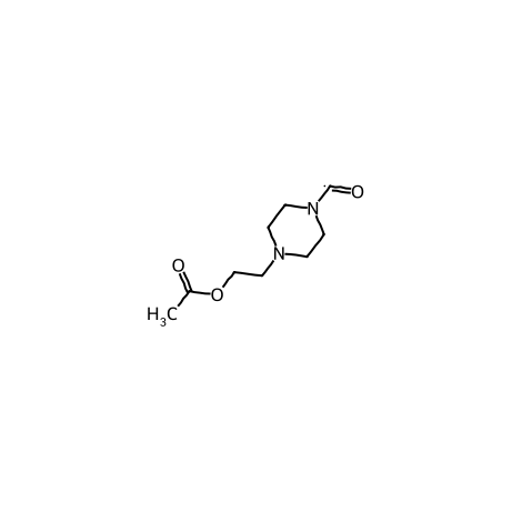 CC(=O)OCCN1CCN([C]=O)CC1